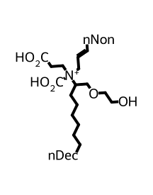 CCCCCCCCCC=CC[N+](CCC(=O)O)(C(=O)O)C(CCCCCCCCCCCCCCCC)COCCO